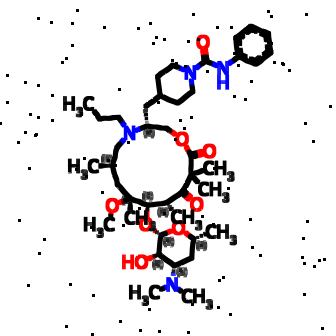 CCCN1C[C@H](C)C[C@@](C)(OC)[C@H](O[C@@H]2O[C@H](C)C[C@H](N(C)C)[C@H]2O)[C@@H](C)C(=O)C(C)(C)C(=O)OC[C@H]1CC1CCN(C(=O)Nc2ccccc2)CC1